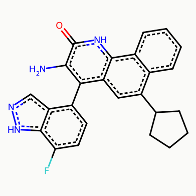 Nc1c(-c2ccc(F)c3[nH]ncc23)c2cc(C3CCCC3)c3ccccc3c2[nH]c1=O